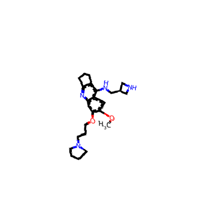 COc1cc2c(NCC3CNC3)c3c(nc2cc1OCCCN1CCCC1)CCC3